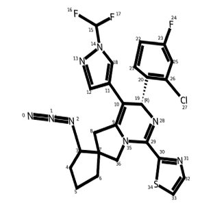 [N-]=[N+]=NC1CCCC12CC1=C(c3cnn(C(F)F)c3)[C@H](c3ccc(F)cc3Cl)N=C(c3nccs3)N1C2